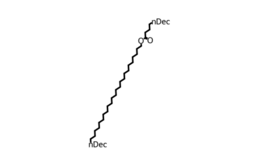 CCCCCCCCCCCCCCCCCCCCCCCCCCCCCCCCCCOC(=O)CCCCCCCCCCCCC